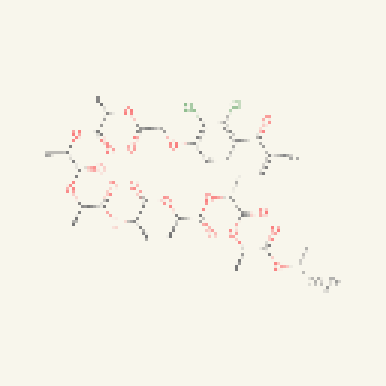 C=C(CC)C(=O)c1ccc(OCC(=O)O[C@H](C)C(=O)O[C@H](C)C(=O)O[C@H](C)C(=O)O[C@H](C)C(=O)O[C@H](C)C(=O)O[C@H](C)C(=O)O[C@H](C)C(=O)O[C@H](C)C(=O)OCC)c(Cl)c1Cl